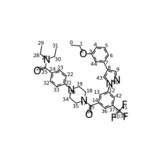 CCOc1cccc(-c2cnn(-c3cc(C(=O)N4CCN(c5ccc(C(=O)N(CC)CC)cc5)CC4)cc(C(F)(F)F)c3)c2)c1